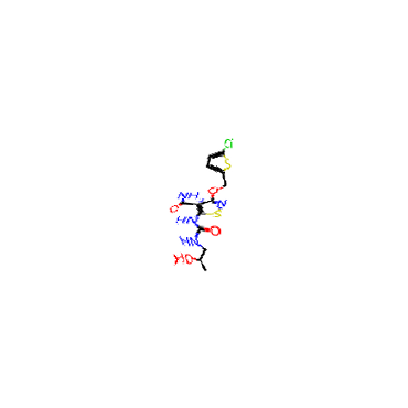 CC(O)CNC(=O)Nc1snc(OCc2ccc(Cl)s2)c1C(N)=O